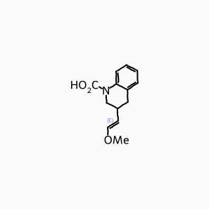 CO/C=C/C1Cc2ccccc2N(C(=O)O)C1